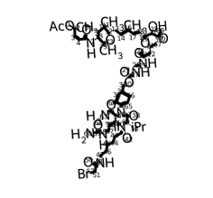 CC(=O)O[C@@H](C)/C=C\C(=O)N[C@@H]1C[C@H](C)[C@H](C/C=C(C)/C=C/[C@H]2O[C@H](CC(=O)NCNC(=O)OCc3ccc(N(C(=O)[C@@H](NC(=O)CCCCCNC(=O)CBr)C(C)C)[C@@H](CCCNC(N)=O)C(N)=O)cc3)C[C@@]3(CO3)[C@@H]2O)O[C@@H]1C